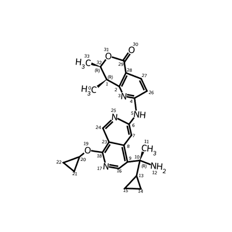 C[C@@H]1c2nc(Nc3cc4c([C@](C)(N)C5CC5)cnc(OC5CC5)c4cn3)ccc2C(=O)O[C@@H]1C